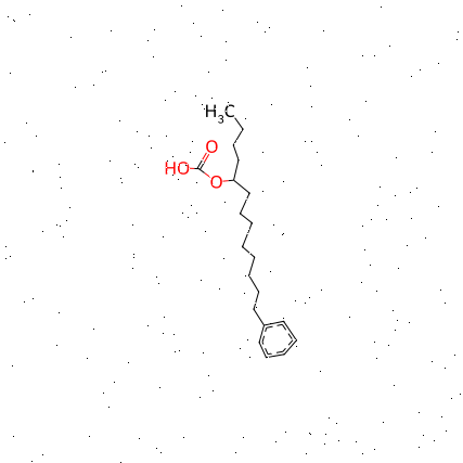 CCCCC(CCCCCCCCc1ccccc1)OC(=O)O